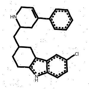 Clc1ccc2[nH]c3c(c2c1)CC(CC1CC(c2ccccc2)=CCN1)CC3